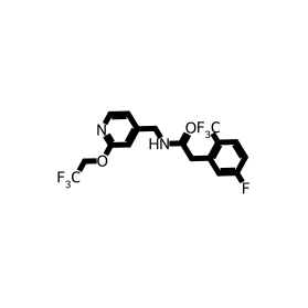 O=C(Cc1cc(F)ccc1C(F)(F)F)NCc1ccnc(OCC(F)(F)F)c1